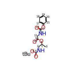 CC(CNC(=O)OC(C)(C)C)OC(=O)CNC(=O)Oc1ccccc1